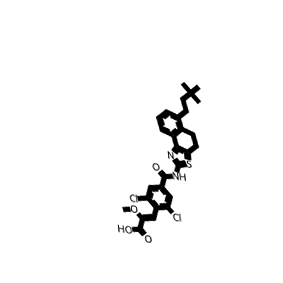 COC(=Cc1c(Cl)cc(C(=O)Nc2nc3c(s2)CCc2c(CCC(C)(C)C)cccc2-3)cc1Cl)C(=O)O